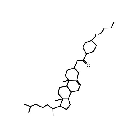 CCCCCC1CCC(C(=O)CC2CCC3(C)C(=CCC4C3CCC3(C)C(C(C)CCCC(C)C)CCC43)C2)CC1